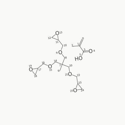 C=C(C)C(=O)O.CC(COCC1CO1)(COCC1CO1)COCC1CO1